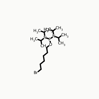 CC(C)N(C(C)C)P(OCCCCCCBr)N(C(C)C)C(C)C